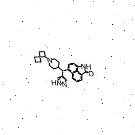 O=C1Nc2ccc(C(c3cn[nH]c3)C3CCN(C4CCC45CCC5)CC3)c3cccc1c23